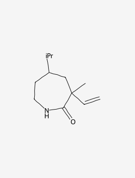 C=CC1(C)CC(C(C)C)CCNC1=O